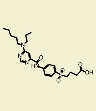 CCCCCN(CCC)c1cc(C(=O)Nc2ccc(S(=O)(=O)CCCC(=O)O)cc2)ncn1